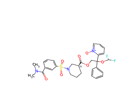 CN(C)C(=O)c1cccc(S(=O)(=O)N2CCC[C@H](C(=O)OCC(OC(F)F)(c3ccccc3)c3cccc[n+]3[O-])C2)c1